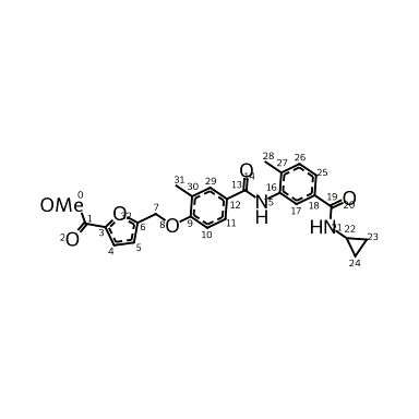 COC(=O)c1ccc(COc2ccc(C(=O)Nc3cc(C(=O)NC4CC4)ccc3C)cc2C)o1